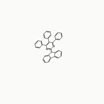 c1ccc(-c2nnnc(-c3ccccc3)c2-c2ccccc2)cc1.c1ccc2c(c1)sc1ccccc12